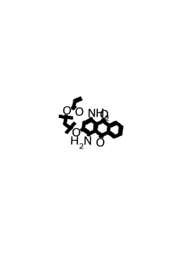 C=CC(=O)OC(C)(C)CC(C)(C)Oc1cc(N)c2c(c1N)C(=O)c1ccccc1C2=O